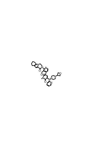 Cn1cc(-c2ccnc(N3CCn4c(cc5c4CCCC5)C3=O)c2CO)cc(N(c2ccccn2)N2CCN(C3COC3)CC2)c1=O